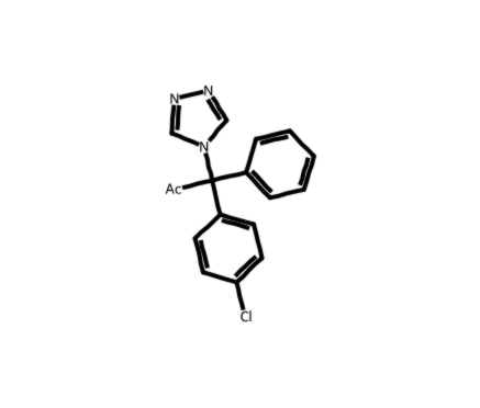 CC(=O)C(c1ccccc1)(c1ccc(Cl)cc1)n1cnnc1